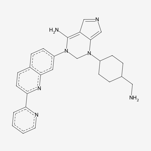 NCC1CCC(N2CN(c3ccc4ccc(-c5ccccn5)nc4c3)C(N)=C3C=NC=C32)CC1